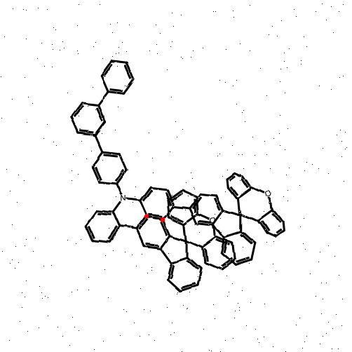 c1ccc(-c2cccc(-c3ccc(N(c4ccc(-c5ccc6c(c5)-c5ccccc5C65c6ccccc6Oc6ccccc65)cc4)c4ccccc4-c4ccc5c(c4)-c4ccccc4C54c5ccccc5Oc5ccccc54)cc3)c2)cc1